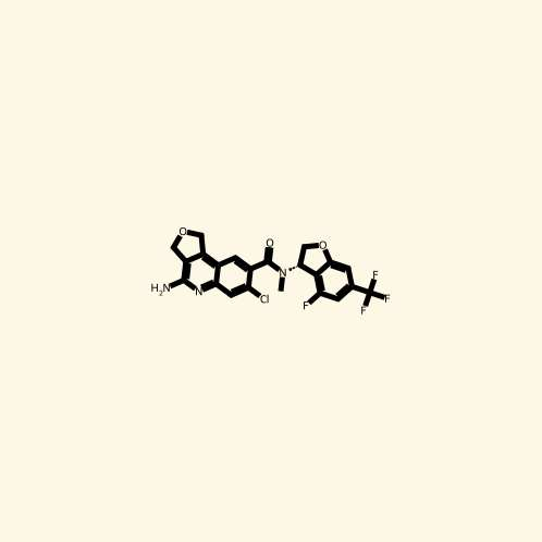 CN(C(=O)c1cc2c3c(c(N)nc2cc1Cl)COC3)[C@@H]1COc2cc(C(F)(F)F)cc(F)c21